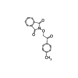 Cc1ccc(C(=O)CON2C(=O)c3ccccc3C2=O)cc1